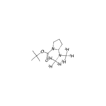 [2H]C([2H])([2H])N(C1CCCN1C(=O)OC(C)(C)C)C([2H])([2H])[2H]